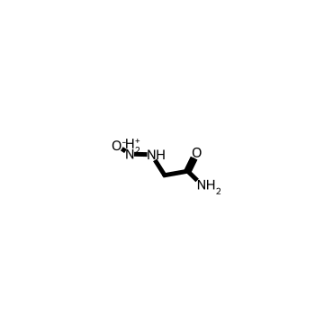 NC(=O)CN[NH2+][O-]